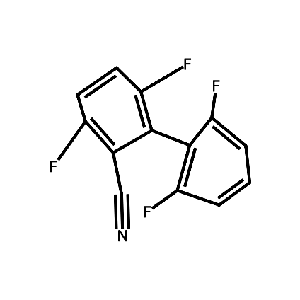 N#Cc1c(F)ccc(F)c1-c1c(F)cccc1F